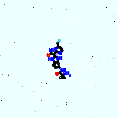 NC(=O)/C(=C1\Nc2ccc(NC(=O)C3(N)CC3)cc2N1)c1nccc(CF)n1